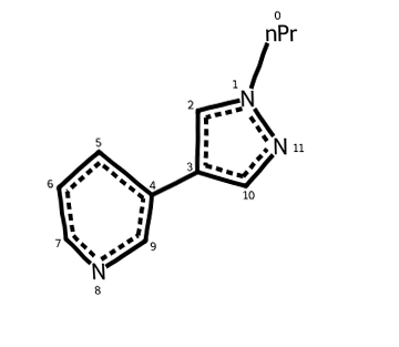 CCCn1cc(-c2cccnc2)cn1